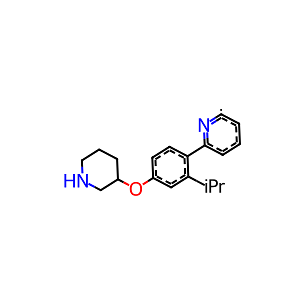 CC(C)c1cc(OC2CCCNC2)ccc1-c1ccc[c]n1